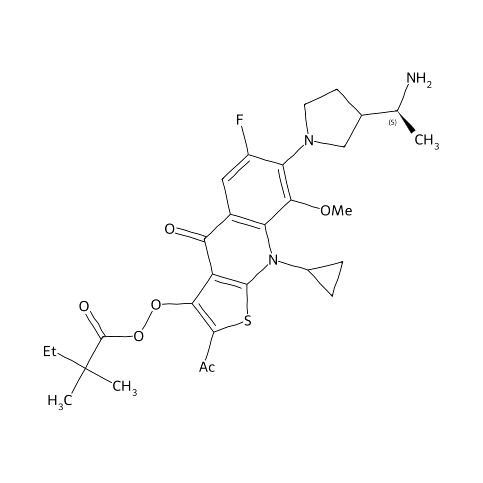 CCC(C)(C)C(=O)OOc1c(C(C)=O)sc2c1c(=O)c1cc(F)c(N3CCC([C@H](C)N)C3)c(OC)c1n2C1CC1